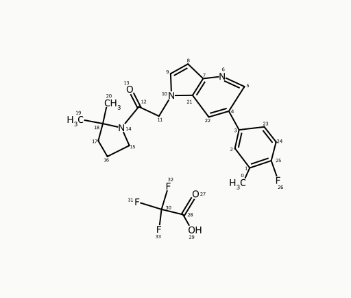 Cc1cc(-c2cnc3ccn(CC(=O)N4CCCC4(C)C)c3c2)ccc1F.O=C(O)C(F)(F)F